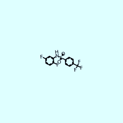 O=S(=O)(Nc1cc(F)ccc1F)c1ccc(C(F)(F)F)cc1